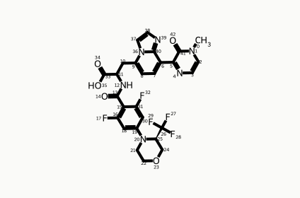 Cn1ccnc(-c2ccc(CC(NC(=O)c3c(F)cc(N4CCOC[C@@H]4C(F)(F)F)cc3F)C(=O)O)n3ccnc23)c1=O